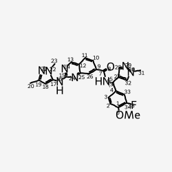 COc1ccc([C@H](NC(=O)c2ccc3cnc(Nc4cc(C)nn4C)nc3c2)c2cnn(C)c2)cc1F